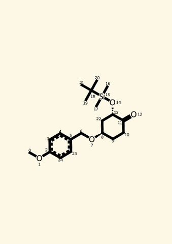 COc1ccc(CO[C@@H]2CCC(=O)[C@@H](O[Si](C)(C)C(C)(C)C)C2)cc1